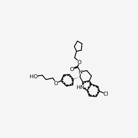 O=C(OCC1CCCC1)N1CCc2c([nH]c3ccc(Cl)cc23)[C@@H]1c1ccc(OCCCO)cc1